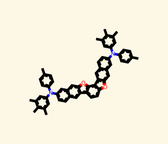 Cc1ccc(N(c2cc(C)c(C)c(C)c2)c2ccc3cc4c(cc3c2)oc2c4ccc3oc4cc5cc(N(c6ccc(C)cc6)c6cc(C)c(C)c(C)c6)ccc5cc4c32)cc1